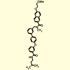 COCCOc1ccc2cc(C(=O)N(C)Cc3cccc(-c4ccc(Oc5cccc(C(=O)NCCN(C)C)c5)cc4)c3)ccc2c1